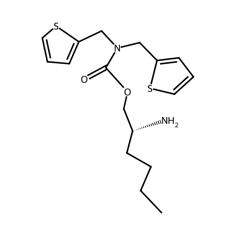 CCCC[C@@H](N)COC(=O)N(Cc1cccs1)Cc1cccs1